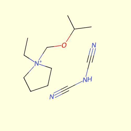 CC[N+]1(COC(C)C)CCCC1.N#CNC#N